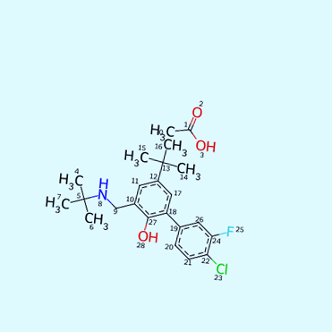 CC(=O)O.CC(C)(C)NCc1cc(C(C)(C)C)cc(-c2ccc(Cl)c(F)c2)c1O